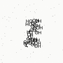 C=C(C)C(CC[C@](C)(O[C@@H]1O[C@H](CO)[C@@H](O)[C@H](O)[C@H]1O)[C@H]1CC[C@]2(C)[C@@H]1[C@H](O)C[C@@H]1[C@@]3(C)CC[C@H](O[C@@H]4O[C@H](CO)[C@@H](O)[C@H](O)[C@H]4O[C@@H]4O[C@H](CO)[C@@H](O)[C@H](O)[C@H]4O)C(C)(C)[C@@H]3CC[C@]12C)OO